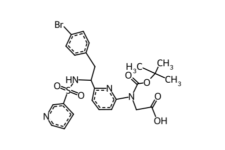 CC(C)(C)OC(=O)N(CC(=O)O)c1cccc(C(Cc2ccc(Br)cc2)NS(=O)(=O)c2cccnc2)n1